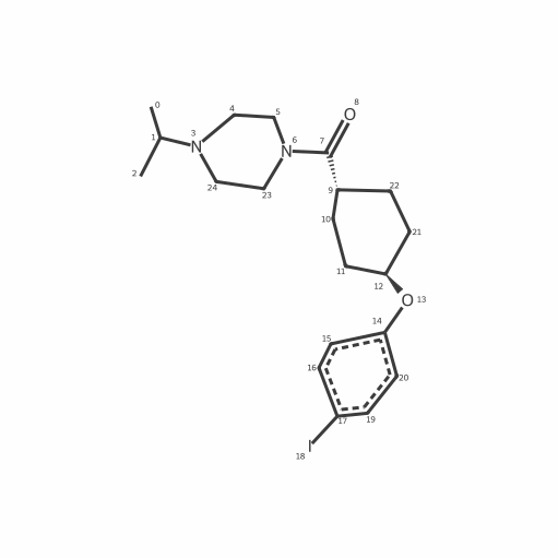 CC(C)N1CCN(C(=O)[C@H]2CC[C@H](Oc3ccc(I)cc3)CC2)CC1